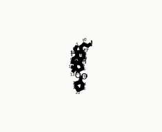 C[C@H](CI)[C@@H]1CC[C@H]2[C@@H]3CC=C4C(C)(C)[C@@H](OC(=O)c5ccccc5)CC[C@@]4(C)[C@H]3CC[C@@]21C